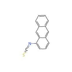 S=C=Nc1cccc2cc3ccccc3cc12